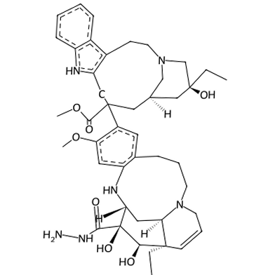 CC[C@]1(O)C[C@@H]2CN(CCc3c([nH]c4ccccc34)CC(C(=O)OC)(c3cc4c(cc3OC)N[C@@H]3C[C@H]5N(CC=C[C@@]5(CC)[C@@H](O)[C@]3(O)C(=O)NN)CCC4)C2)C1